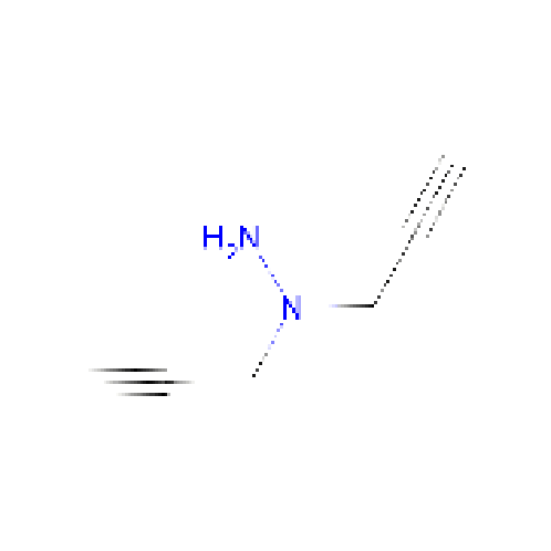 C#CCN(N)CC#C